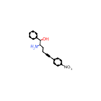 N[C@H](CCC#Cc1ccc([N+](=O)[O-])cc1)[C@H](O)c1ccccc1